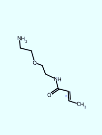 C/C=C/C(=O)NCCOCCN